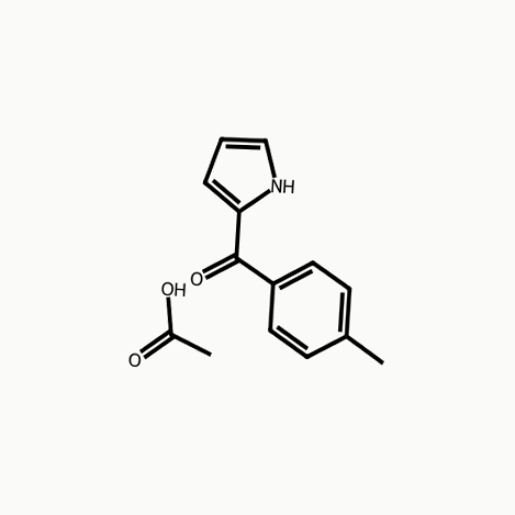 CC(=O)O.Cc1ccc(C(=O)c2ccc[nH]2)cc1